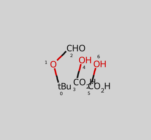 CC(C)(C)OC=O.O=C(O)O.O=C(O)O